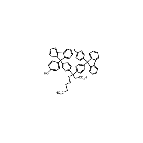 O=C(O)CCSSC(CC(=O)O)(c1ccc(C2(c3ccc(O)cc3)c3ccccc3-c3ccccc32)cc1)c1ccc(C2(c3ccc(O)cc3)c3ccccc3-c3ccccc32)cc1